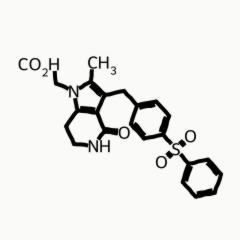 Cc1c(Cc2ccc(S(=O)(=O)c3ccccc3)cc2)c2c(n1CC(=O)O)CCNC2=O